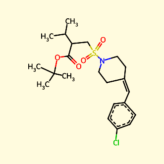 CC(C)C(CS(=O)(=O)N1CCC(=Cc2ccc(Cl)cc2)CC1)C(=O)OC(C)(C)C